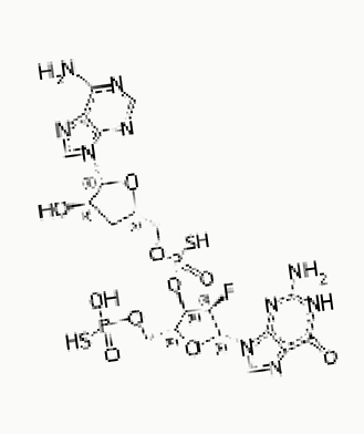 Nc1nc2c(ncn2[C@@H]2O[C@H](COP(=O)(O)S)[C@@H](OP(=O)(S)OC[C@@H]3C[C@@H](O)[C@H](n4cnc5c(N)ncnc54)O3)[C@H]2F)c(=O)[nH]1